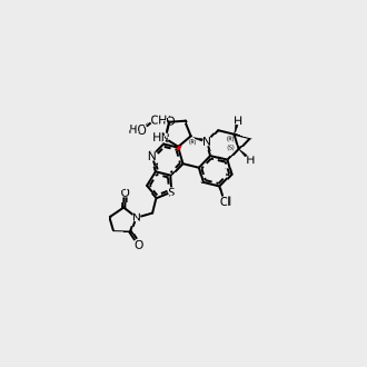 O=C1CCC(=O)N1Cc1cc2nccc(-c3cc(Cl)cc4c3N([C@@H]3CCNC3)C[C@@H]3C[C@H]43)c2s1.O=CO